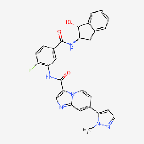 Cn1nccc1-c1ccn2c(C(=O)Nc3cc(C(=O)N[C@@H]4Cc5ccccc5[C@H]4O)ccc3F)cnc2c1